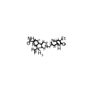 CCc1cc2ncc(CN3CC=C(c4ccc(C(N)=O)nc4CC(F)F)C(C)C3)cc2[nH]c1=O